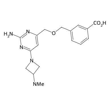 CNC1CN(c2cc(COCc3cccc(C(=O)O)c3)nc(N)n2)C1